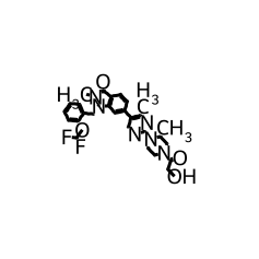 Cc1nc(N2CCN(C(=O)CO)CC2C)ncc1-c1ccc2c(=O)n(C)n(Cc3ccccc3OC(F)F)c2c1